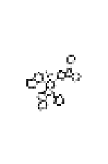 CC1(C)c2ccc3ccccc3c2-c2c1c(-c1ccc3c(c1)c1ccccc1n3-c1ccccc1)cc1c2c2ccc3ccccc3c2n1-c1ccccc1